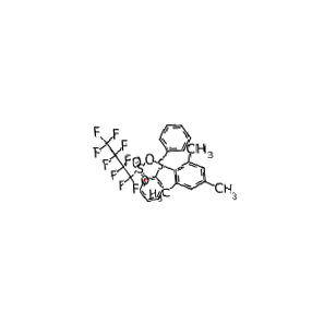 Cc1cc(C)c(S(OS(=O)(=O)C(F)(F)C(F)(F)C(F)(F)C(F)(F)F)(c2ccccc2)c2ccccc2)c(C)c1